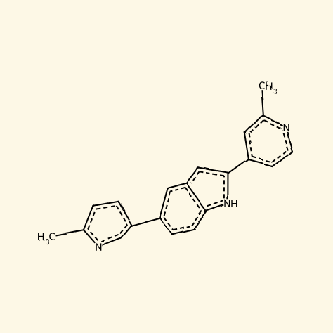 Cc1ccc(-c2ccc3[nH]c(-c4ccnc(C)c4)cc3c2)cn1